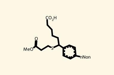 CCCCCCCCCc1ccc(C(CCCCC(=O)O)SCCC(=O)OC)cc1